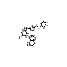 Brc1cnc(Nc2nc(CCc3ccccc3)cs2)cc1Sc1ncnc2c1CNCC2